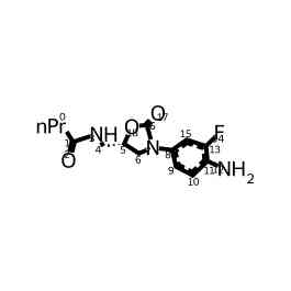 CCCC(=O)NC[C@H]1CN(c2ccc(N)c(F)c2)C(=O)O1